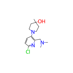 CN(C)Cc1nc(Cl)ccc1N1CCC(C)(O)CC1